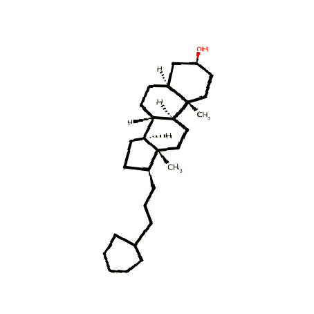 C[C@]12CC[C@H](O)C[C@@H]1CC[C@@H]1[C@@H]2CC[C@]2(C)[C@@H](CCCC3CCCCC3)CC[C@@H]12